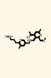 CC/C(C)=c1/cc(C)nc(/C=N\C)/c1=C/NCc1cnc(CCCNF)c(C)c1